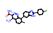 Cc1ccc2c(N)c(C(N)=O)nnc2c1-c1ccc2nc(-c3ccc(F)cc3)[nH]c2c1